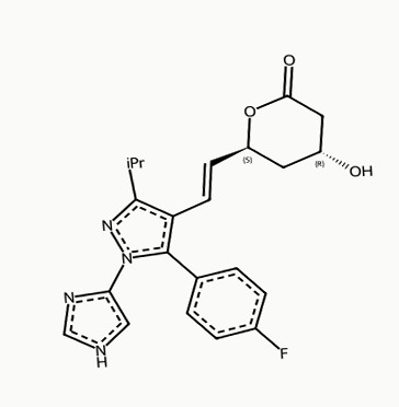 CC(C)c1nn(-c2c[nH]cn2)c(-c2ccc(F)cc2)c1C=C[C@@H]1C[C@@H](O)CC(=O)O1